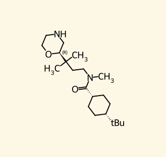 CN(CCC(C)(C)[C@@H]1CNCCO1)C(=O)[C@H]1CC[C@@H](C(C)(C)C)CC1